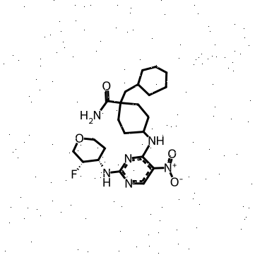 NC(=O)C1(CC2CCCCC2)CCC(Nc2nc(N[C@H]3CCOC[C@H]3F)ncc2[N+](=O)[O-])CC1